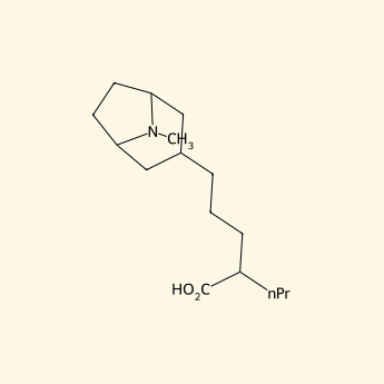 CCCC(CCCC1CC2CCC(C1)N2C)C(=O)O